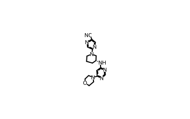 N#Cc1cnc(N2CCC[C@@H](Nc3cc(N4CCOCC4)ncn3)C2)cn1